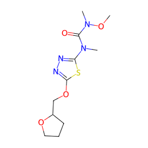 CON(C)C(=O)N(C)c1nnc(OCC2CCCO2)s1